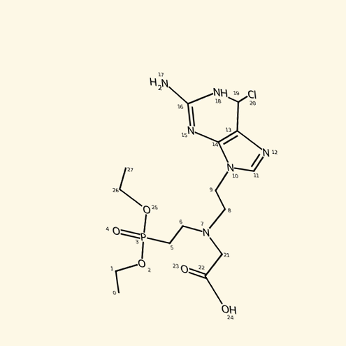 CCOP(=O)(CCN(CCn1cnc2c1N=C(N)NC2Cl)CC(=O)O)OCC